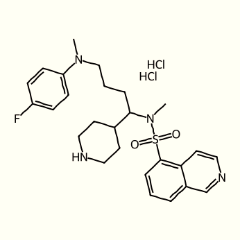 CN(CCCC(C1CCNCC1)N(C)S(=O)(=O)c1cccc2cnccc12)c1ccc(F)cc1.Cl.Cl